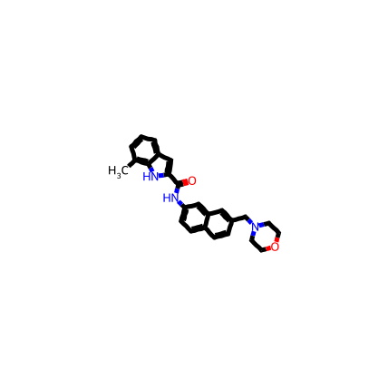 Cc1cccc2cc(C(=O)Nc3ccc4ccc(CN5CCOCC5)cc4c3)[nH]c12